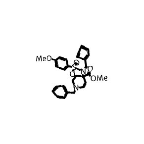 COC(=O)C1(N(Cc2ccccc2)S(=O)(=O)c2ccc(OC)cc2)CCN(Cc2ccccc2)CC1